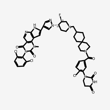 Cn1c(=O)n(-c2c(Cl)cccc2Cl)c(=O)c2cnc3[nH]c(-c4cnn([C@H]5CCN(CC6CCC7(CC6)CCN(C(=O)c6ccc(Cl)c(N8CCC(=O)NC8=O)c6)CC7)C[C@@H]5F)c4)cc3c21